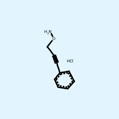 Cl.NOCC#Cc1ccccc1